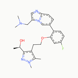 Cc1c(CCOc2cc(F)ccc2-c2ccc3ncc(CN(C)C)n3c2)c([C@@H](C)O)nn1C